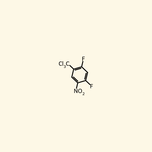 O=[N+]([O-])c1cc(C(Cl)(Cl)Cl)c(F)cc1F